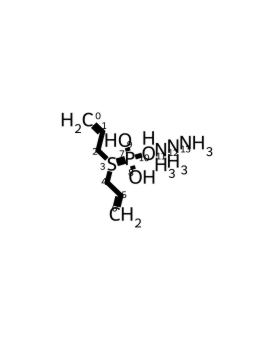 C=CCS(CC=C)=P(O)(O)O.N.N.N